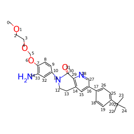 COCCOCOc1ccc(N2CCc3cc(-c4ccc(C(C)(C)C)cc4)cnc3C2=O)cc1N